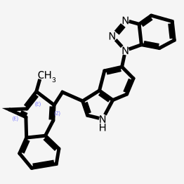 CC1=C\C=C\c2ccccc2/C=C\1Cc1c[nH]c2ccc(-n3nnc4ccccc43)cc12